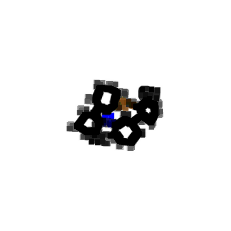 N#CC1=CC=CC(c2cccc(C#N)c2Br)=C=C1n1c2c(c3c1C=CCC3)C=CCC=C2